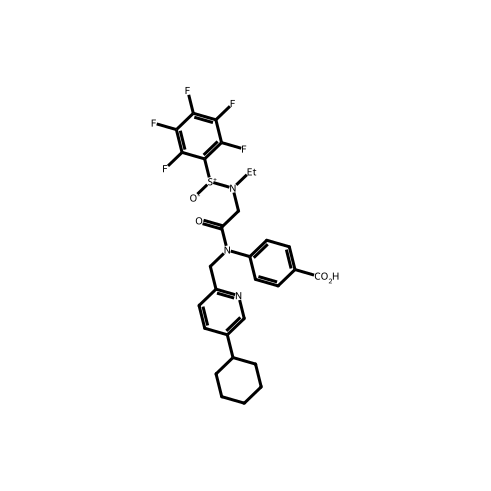 CCN(CC(=O)N(Cc1ccc(C2CCCCC2)cn1)c1ccc(C(=O)O)cc1)[S+]([O-])c1c(F)c(F)c(F)c(F)c1F